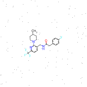 CC1CCN(c2nc(C(F)(F)F)ccc2CNC(=O)Cc2ccc(F)cc2)CC1